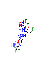 O=C(N[C@H](c1cn2ncc(CN3C[C@@H](C(F)(F)F)NC3=O)cc2n1)C1CCC(F)(F)CC1)c1nonc1C(F)F